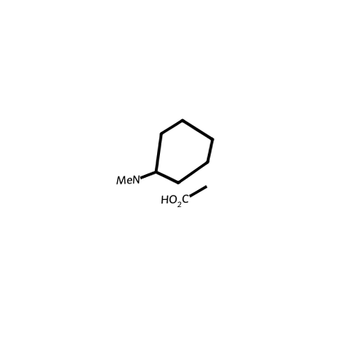 CC(=O)O.CNC1CCCCC1